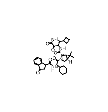 CC1(C)C2[C@@H](C(=O)NC(CC3CCC3)C(=O)C(N)=O)N(C(=O)[C@@H](NC(=O)C3CC(=O)c4ccccc43)C3CCCCC3)C[C@@H]21